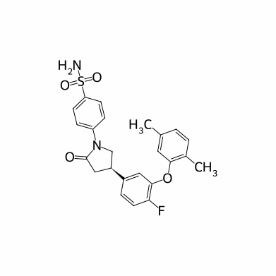 Cc1ccc(C)c(Oc2cc([C@H]3CC(=O)N(c4ccc(S(N)(=O)=O)cc4)C3)ccc2F)c1